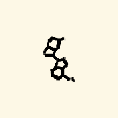 Nc1ncnc2c1cnn2-c1csc2ccc(Cl)cc12